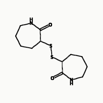 O=C1NCCCCC1SSC1CCCCNC1=O